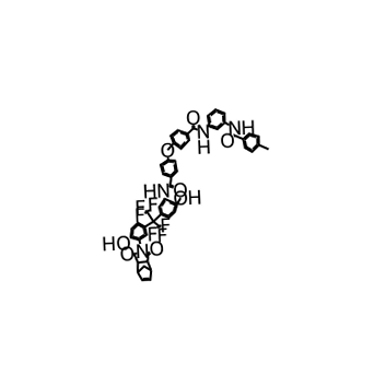 Cc1ccc(C(=O)Nc2cccc(NC(=O)c3ccc(Oc4ccc(C(=O)Nc5cc(C(c6ccc(O)c(N7C(=O)C8C9C=CC(C9)C8C7=O)c6)(C(F)(F)F)C(F)(F)F)ccc5O)cc4)cc3)c2)cc1